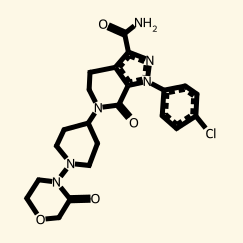 NC(=O)c1nn(-c2ccc(Cl)cc2)c2c1CCN(C1CCN(N3CCOCC3=O)CC1)C2=O